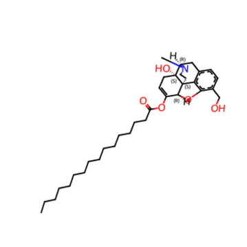 CCCCCCCCCCCCCCCC(=O)OC1=CC[C@@]2(O)[C@H]3Cc4ccc(CO)c5c4[C@@]2(CCN3C)[C@H]1O5